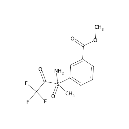 COC(=O)c1cccc(S(C)(N)(=O)C(=O)C(F)(F)F)c1